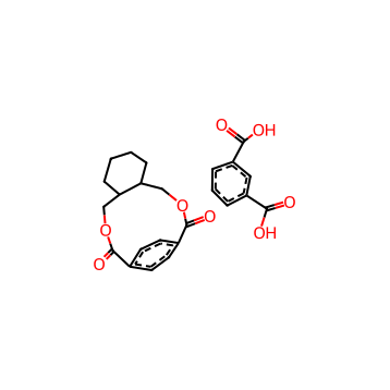 O=C(O)c1cccc(C(=O)O)c1.O=C1OCC2CCCCC2COC(=O)c2ccc1cc2